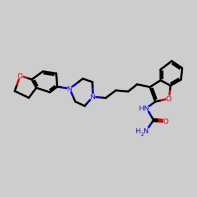 NC(=O)Nc1oc2ccccc2c1CCCCN1CCN(c2ccc3c(c2)CCO3)CC1